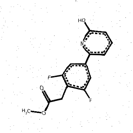 COC(=O)Cc1c(F)cc(-c2cccc(O)n2)cc1F